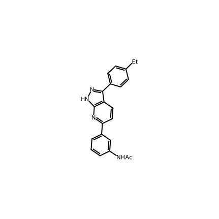 CCc1ccc(-c2n[nH]c3nc(-c4cccc(NC(C)=O)c4)ccc23)cc1